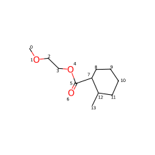 COCCOC(=O)C1CCCCC1C